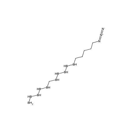 BBBBBCBBBBBCCCCCN=[N+]=[N-]